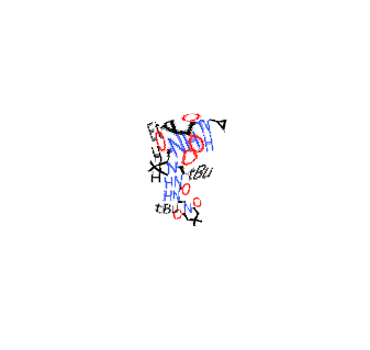 CC[C@H]1C[C@]1(NC(=O)[C@@H]1[C@@H]2[C@H](CN1C(=O)[C@@H](NC(=O)N[C@H](CN1C(=O)CC(C)(C)CC1=O)C(C)(C)C)C(C)(C)C)C2(C)C)C(=O)C(=O)NCC1CC1